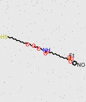 CCOP(=O)(CCCCCCCCCCCOC(=O)NCCOCCOCCOCCCCCCCCCCCS)Oc1ccc(N=O)cc1